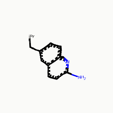 CC(C)Cc1ccc2nc(N)ccc2c1